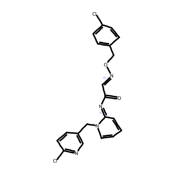 O=C(/C=N/OCc1ccc(Cl)cc1)/N=c1\ccccn1Cc1ccc(Cl)nc1